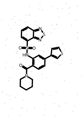 O=C(c1ccc(-c2ccsc2)cc1NS(=O)(=O)c1cccc2nsnc12)N1CCCCC1